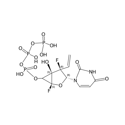 C=C[C@]1(F)[C@H](n2ccc(=O)[nH]c2=O)O[C@]2(F)C(OP(=O)(O)OP(=O)(O)OP(=O)(O)O)[C@@]21O